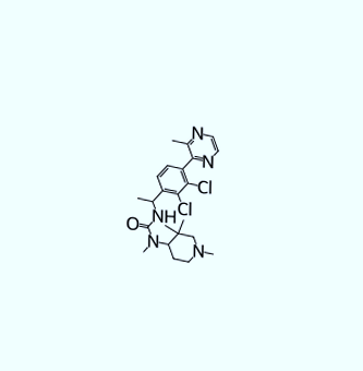 Cc1nccnc1-c1ccc(C(C)NC(=O)N(C)C2CCN(C)CC2(C)C)c(Cl)c1Cl